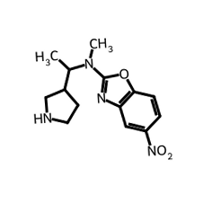 CC(C1CCNC1)N(C)c1nc2cc([N+](=O)[O-])ccc2o1